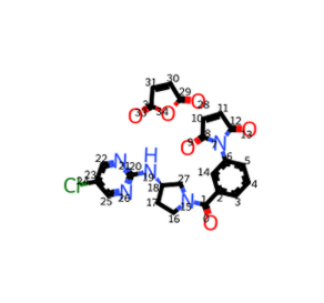 O=C(c1cccc(N2C(=O)C=CC2=O)c1)N1CC[C@@H](Nc2ncc(Cl)cn2)C1.O=C1C=CC(=O)O1